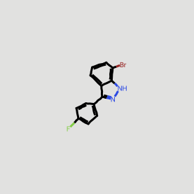 Fc1ccc(-c2n[nH]c3c(Br)cccc23)cc1